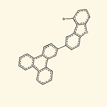 Brc1cccc2oc3ccc(-c4ccc5c6ccccc6c6ccccc6c5c4)cc3c12